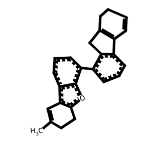 CC1=Cc2c(oc3c(-c4cccc5c4CC4=C5C=CCC4)cccc23)CC1